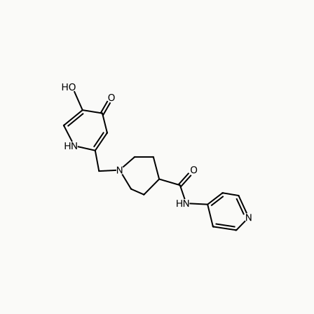 O=C(Nc1ccncc1)C1CCN(Cc2cc(=O)c(O)c[nH]2)CC1